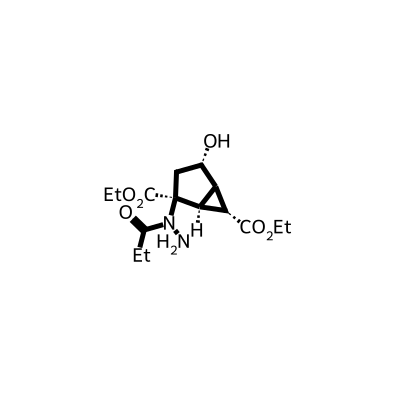 CCOC(=O)[C@H]1C2[C@@H](O)C[C@](C(=O)OCC)(N(N)C(=O)CC)[C@@H]21